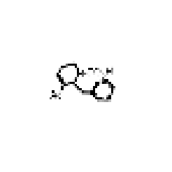 CC(=O)C1=CCCN(C(=O)O)C1Cc1ccccc1